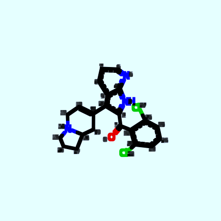 O=C(c1[nH]c2ncccc2c1C1=CCN2CCCC2C1)c1c(Cl)cccc1Cl